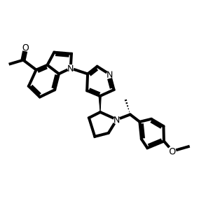 COc1ccc([C@@H](C)N2CCC[C@H]2c2cncc(-n3ccc4c(C(C)=O)cccc43)c2)cc1